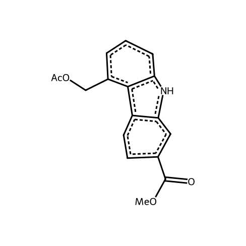 COC(=O)c1ccc2c(c1)[nH]c1cccc(COC(C)=O)c12